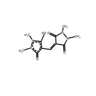 CN1C(=O)C(=Cc2c(O)n(C)n(C)c2=O)C(=O)N1C